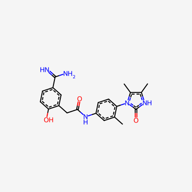 Cc1cc(NC(=O)Cc2cc(C(=N)N)ccc2O)ccc1-n1c(C)c(C)[nH]c1=O